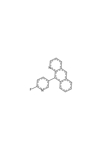 Fc1ccc(-c2c3ccccc3cc3cccnc23)cn1